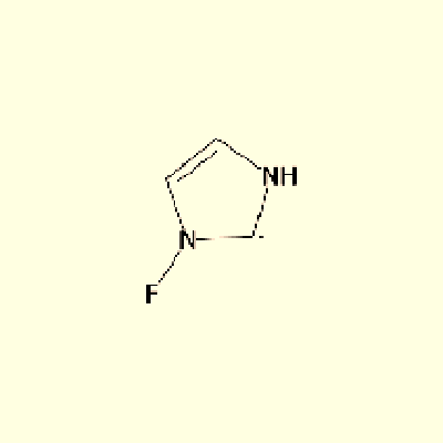 FN1[CH]NC=C1